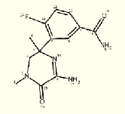 CN1CC(C)(c2cc(C(N)=O)ccc2F)N=C(N)C1=O